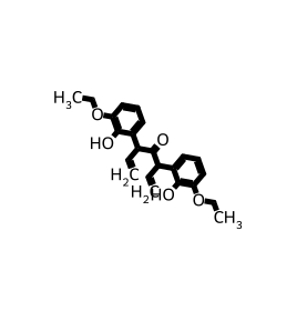 C=CC(C(=O)C(C=C)c1cccc(OCC)c1O)c1cccc(OCC)c1O